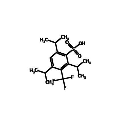 CC(C)c1cc(C(C)C)c(S(=O)(=O)O)c(C(C)C)c1C(F)(F)F